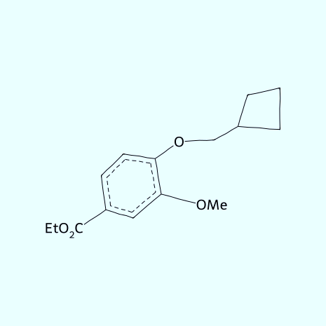 CCOC(=O)c1ccc(OCC2CCC2)c(OC)c1